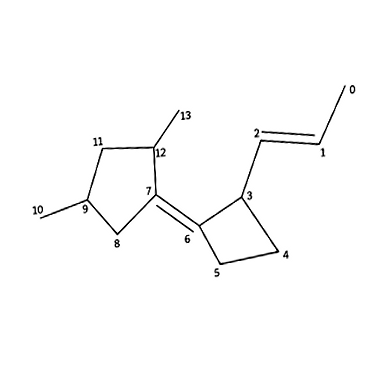 CC=CC1CCC1=C1CC(C)CC1C